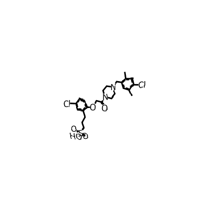 Cc1cc(CN2CCN(C(=O)COc3ccc(Cl)cc3CCCS(=O)(=O)O)CC2)c(C)cc1Cl